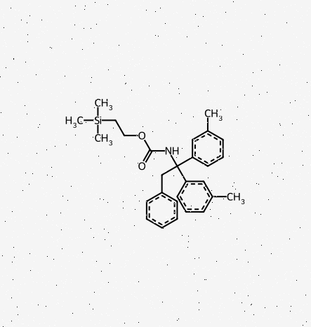 Cc1cccc(C(Cc2ccccc2)(NC(=O)OCC[Si](C)(C)C)c2cccc(C)c2)c1